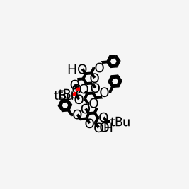 CC1C(OC(=O)C(C)(C)C)C(O)OC(COCc2ccccc2)C1OC1OC(COCc2ccccc2)C(OC2OC(COCc3ccccc3)C(O)C(C)C2OC(=O)C(C)(C)C)C(C)C1OC(=O)C(C)(C)C